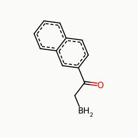 BCC(=O)c1ccc2ccccc2c1